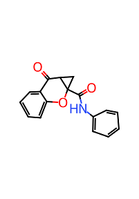 O=C1c2ccccc2OC2(C(=O)Nc3ccccc3)CC12